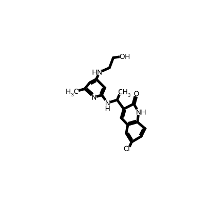 Cc1cc(NCCO)cc(NC(C)c2cc3cc(Cl)ccc3[nH]c2=O)n1